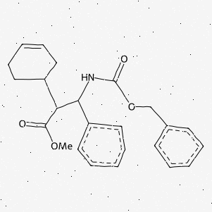 COC(=O)C(C1CC=CCC1)C(NC(=O)OCc1ccccc1)c1ccccc1